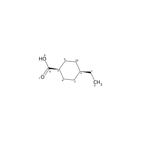 CC[C@H]1CC[C@@H](C(=O)O)CC1